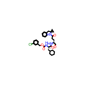 O=C[C@H](CCC(=O)NC1(Cc2ccccc2)CC1)NC(=O)[C@H](CC1CCCCC1)NC(=O)OCc1cccc(Cl)c1